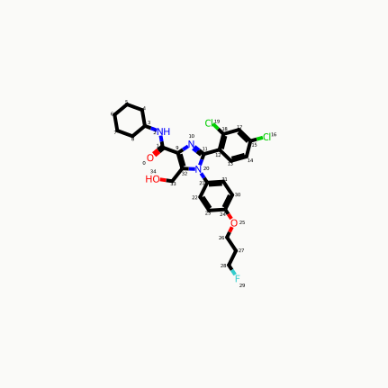 O=C(NC1CCCCC1)c1nc(-c2ccc(Cl)cc2Cl)n(-c2ccc(OCCCF)cc2)c1CO